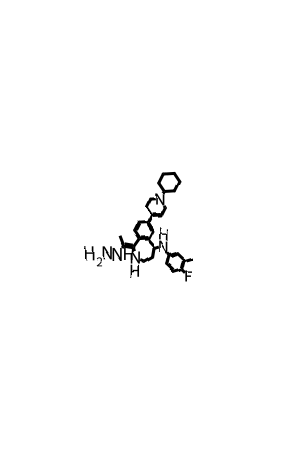 C/C(NN)=C1/NCCC(Nc2ccc(F)c(C)c2)c2cc(C3=CCN(C4CCCCC4)CC3)ccc21